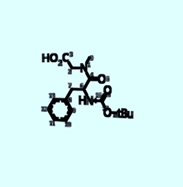 CN(CC(=O)O)C(=O)C(Cc1ccccc1)NC(=O)OC(C)(C)C